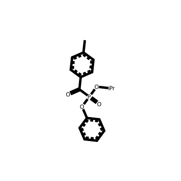 Cc1ccc(C(=O)P(=O)(Oc2ccccc2)OC(C)C)cc1